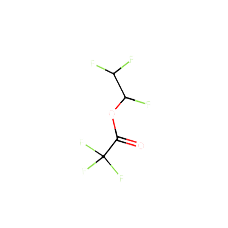 O=C(OC(F)C(F)F)C(F)(F)F